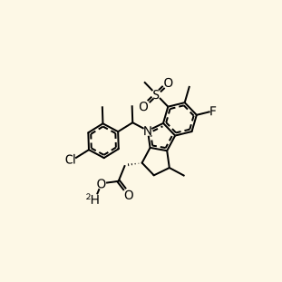 [2H]OC(=O)C[C@H]1CC(C)c2c1n(C(C)c1ccc(Cl)cc1C)c1c(S(C)(=O)=O)c(C)c(F)cc21